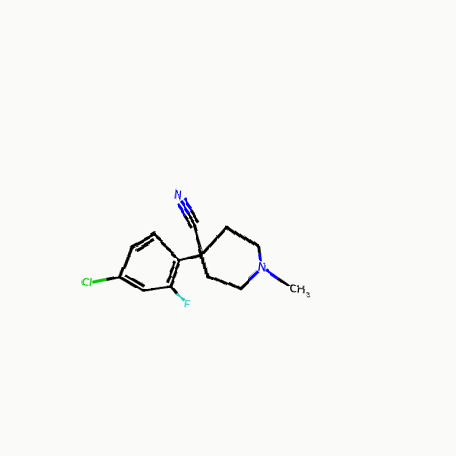 CN1CCC(C#N)(c2ccc(Cl)cc2F)CC1